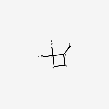 C[C@H]1CCC1(F)F